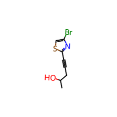 CC(O)CC#Cc1nc(Br)cs1